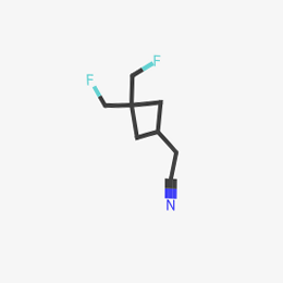 N#CCC1CC(CF)(CF)C1